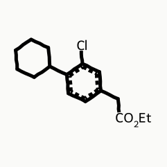 CCOC(=O)Cc1ccc(C2CCCCC2)c(Cl)c1